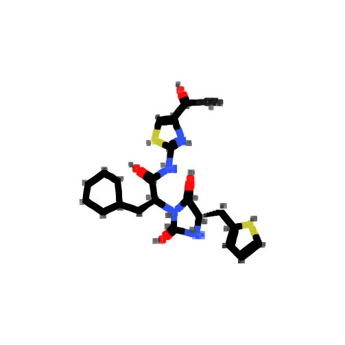 COC(=O)c1csc(NC(=O)[C@H](CC2CCCCC2)N2C(=O)N[C@@H](Cc3cccs3)C2=O)n1